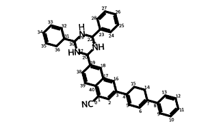 N#Cc1cc(C2=CC=C(c3ccccc3)CC2)cc2cc(C3NC(c4ccccc4)NC(C4C=CC=CC4)N3)ccc12